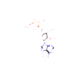 CSOP(=O)(O)OP(=O)(O)OC[C@H]1O[C@@H](n2cnc3c(N)ncnc32)[C@H](O)[C@@H]1O